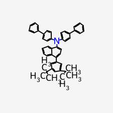 CC(C)(C)c1cc(-c2ccc(N(c3ccc(-c4ccccc4)cc3)c3ccc(-c4ccccc4)cc3)c3ccccc23)cc(C(C)(C)C)c1